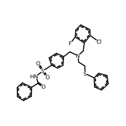 O=C(NS(=O)(=O)c1ccc(CN(CCSc2ccccc2)Cc2c(F)cccc2Cl)cc1)c1ccccc1